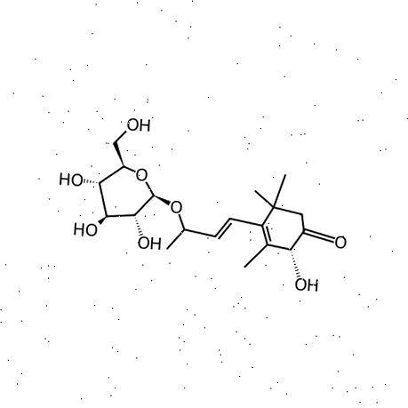 CC1=C(/C=C/C(C)O[C@@H]2O[C@H](CO)[C@@H](O)[C@H](O)[C@H]2O)C(C)(C)CC(=O)[C@@H]1O